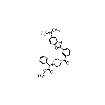 COC(=O)C(c1ccccc1)N1CCN(C(=O)c2cccc(-c3nc4cc(N(C)C)ccc4o3)c2)CC1